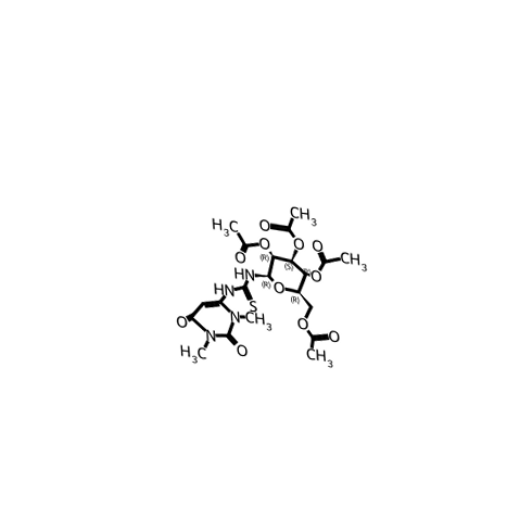 CC(=O)OC[C@H]1O[C@@H](NC(=S)Nc2cc(=O)n(C)c(=O)n2C)[C@H](OC(C)=O)[C@@H](OC(C)=O)[C@@H]1OC(C)=O